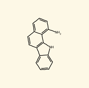 Nc1cccc2ccc3c4ccccc4[nH]c3c12